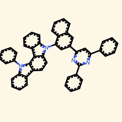 c1ccc(-c2cc(-c3cc(-n4c5ccccc5c5c4ccc4c6ccccc6n(-c6ccccc6)c45)c4ccccc4c3)nc(-c3ccccc3)n2)cc1